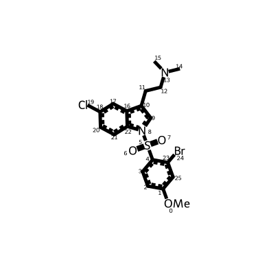 COc1ccc(S(=O)(=O)n2cc(CCN(C)C)c3cc(Cl)ccc32)c(Br)c1